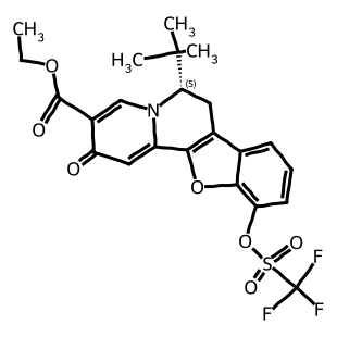 CCOC(=O)c1cn2c(cc1=O)-c1oc3c(OS(=O)(=O)C(F)(F)F)cccc3c1C[C@H]2C(C)(C)C